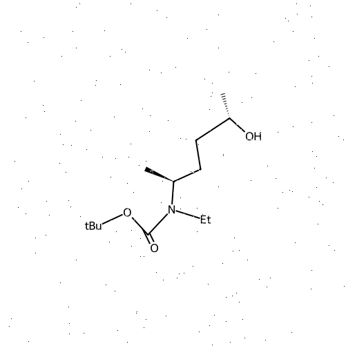 CCN(C(=O)OC(C)(C)C)[C@@H](C)CC[C@H](C)O